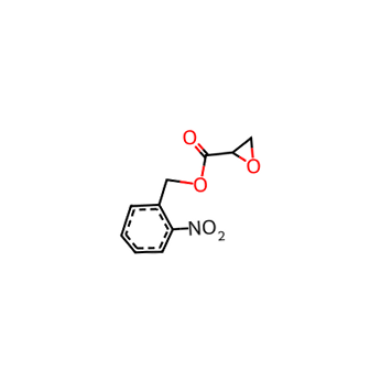 O=C(OCc1ccccc1[N+](=O)[O-])C1CO1